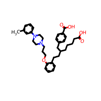 Cc1cccc(N2CCN(CCCOc3ccccc3CCC(CCCCC(=O)O)Cc3ccc(C(=O)O)cc3)CC2)c1